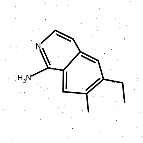 CCc1cc2ccnc(N)c2cc1C